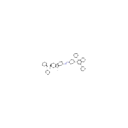 C(=C\c1ccc2c(c1)sc1cc(N(c3ccccc3)c3ccccc3)ccc12)/c1ccc(-c2cc(-c3ccccc3)c3ccccc3c2-c2ccccc2)cc1